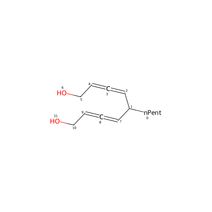 CCCCCC(C=C=CCO)C=C=CCO